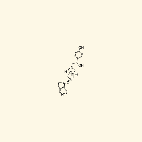 Oc1ccc(C(O)CN2C[C@H]3C[C@@H](Oc4cccc5cnccc45)C[C@H]3C2)cc1